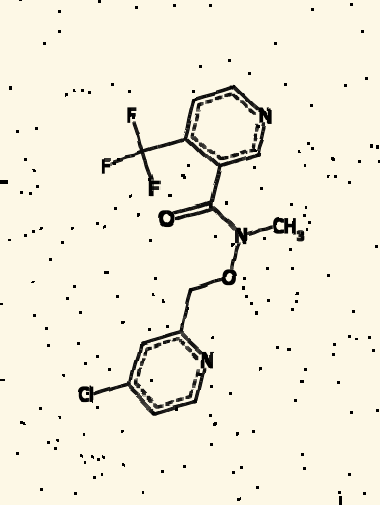 CN(OCc1cc(Cl)ccn1)C(=O)c1cnccc1C(F)(F)F